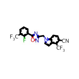 N#Cc1ccc2c(ccn2Cc2noc(-c3cccc(C(F)(F)F)c3F)n2)c1C(F)(F)F